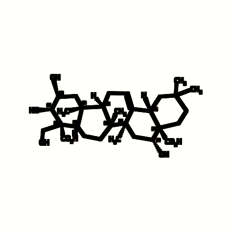 CC1(C)CC[C@]2(C(=O)O)[C@H](O)C[C@]3(C)C(=CC[C@@H]4[C@@]5(C)C[C@H](O)[C@H](O)[C@](CO)(C(=O)O)[C@@H]5CC[C@]43C)[C@@H]2C1